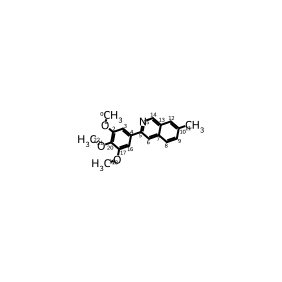 COc1cc(-c2cc3ccc(C)cc3cn2)cc(OC)c1OC